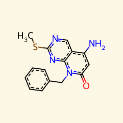 CSc1ncc2c(N)cc(=O)n(Cc3ccccc3)c2n1